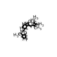 Cc1[nH]c(/C=C2\C(=O)Nc3ccc(C(=O)NC(C)c4ccc(F)cc4)cc32)c(C)c1N